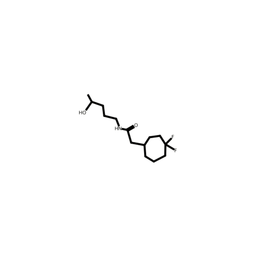 CC(O)CCCNC(=O)CC1CCCC(F)(F)CC1